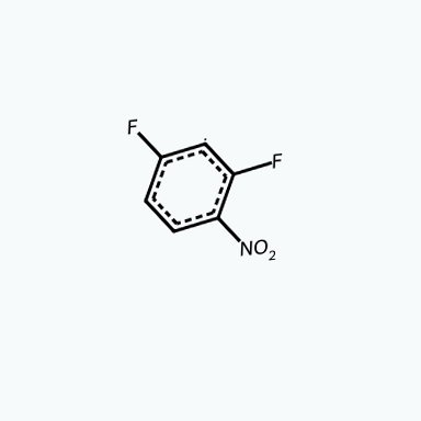 O=[N+]([O-])c1ccc(F)[c]c1F